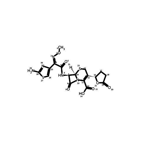 CO/N=C(\C(=O)N[C@@H]1C(=O)N2C(C(=O)O)=C([C@@H]3CCC(=O)O3)CS[C@H]12)c1csc(N)n1